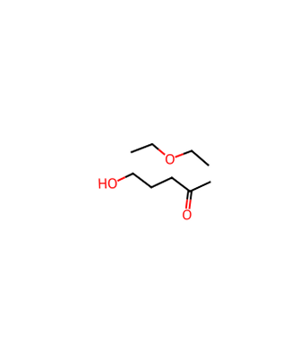 CC(=O)CCCO.CCOCC